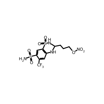 NS(=O)(=O)c1cc2c(cc1C(F)(F)F)NC(CCCO[N+](=O)[O-])NS2(=O)=O